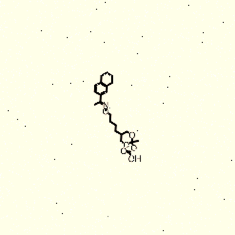 CC(=NOCCCCC1COC(C)(OC(=O)O)OC1)c1ccc2c(c1)CCCC2